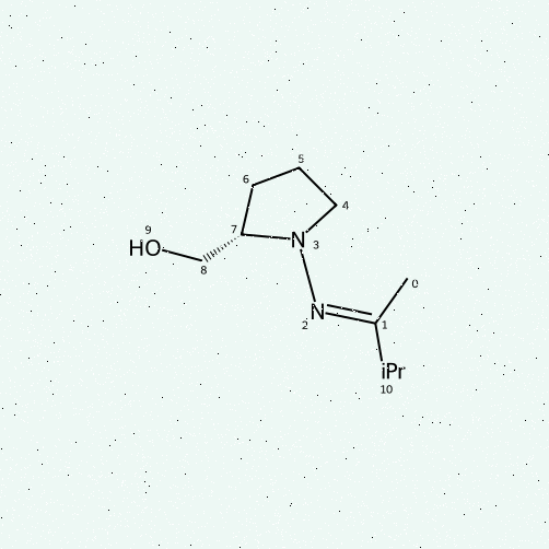 C/C(=N\N1CCC[C@H]1CO)C(C)C